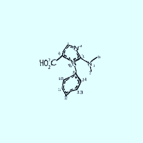 CN(C)c1ncc(C(=O)O)n1-c1ccccc1